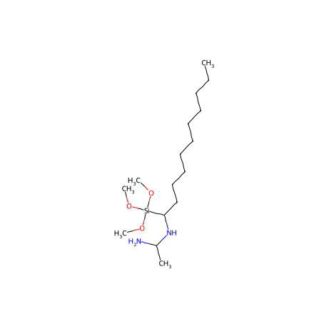 CCCCCCCCCCC(NC(C)N)[Si](OC)(OC)OC